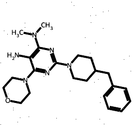 CN(C)c1nc(N2CCC(Cc3ccccc3)CC2)nc(N2CCOCC2)c1N